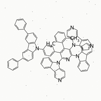 Cc1cccc(C)c1-c1c(-c2ccc(-n3c4ccc(-c5ccccc5)cc4c4cc(-c5ccccc5)ccc43)cc2)c(-n2c3ccccc3c3cnccc32)nc(-n2c3ccccc3c3cnccc32)c1-n1c2ccccc2c2cnccc21